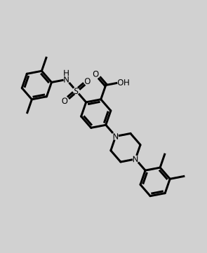 Cc1ccc(C)c(NS(=O)(=O)c2ccc(N3CCN(c4cccc(C)c4C)CC3)cc2C(=O)O)c1